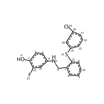 Oc1ccc(NCc2ccccc2Sc2cccc(Cl)c2)cc1F